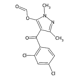 Cc1nn(C)c(OC=O)c1C(=O)c1ccc(Cl)cc1Cl